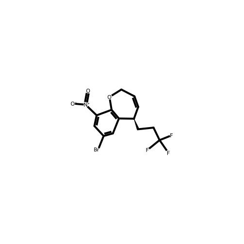 O=[N+]([O-])c1cc(Br)cc2c1OCC=C[C@H]2CCC(F)(F)F